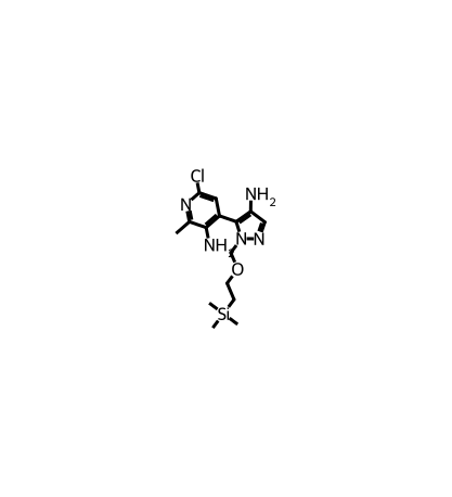 Cc1nc(Cl)cc(-c2c(N)cnn2COCC[Si](C)(C)C)c1N